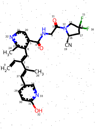 C=CC(=C\c1c(C(=O)NCC(=O)N2CC(F)(F)C[C@H]2C#N)ccnc1C)/C(C)=C/c1ccc(O)nc1